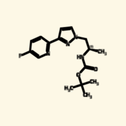 C[C@H](Cn1ccc(-c2ccc(F)cn2)n1)NC(=O)OC(C)(C)C